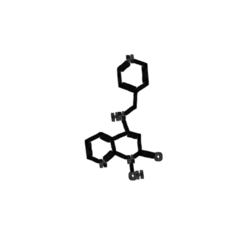 O=c1cc(NCc2ccncc2)c2cccnc2n1O